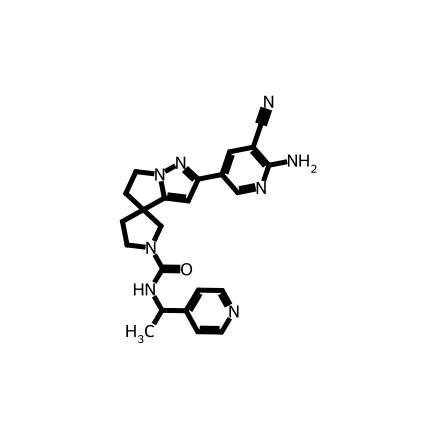 CC(NC(=O)N1CCC2(CCn3nc(-c4cnc(N)c(C#N)c4)cc32)C1)c1ccncc1